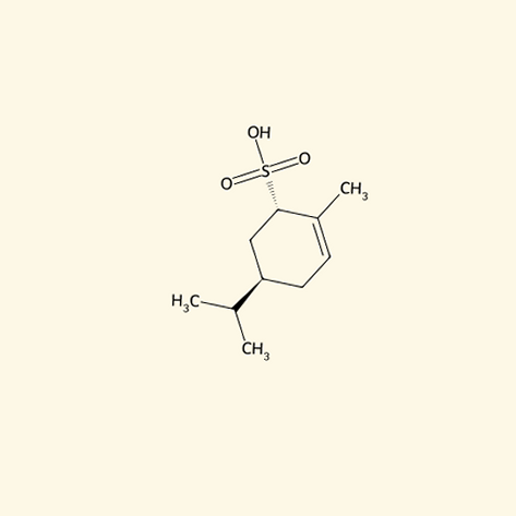 CC1=CC[C@@H](C(C)C)C[C@@H]1S(=O)(=O)O